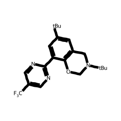 CC(C)(C)c1cc2c(c(-c3ncc(C(F)(F)F)cn3)c1)OCN(C(C)(C)C)C2